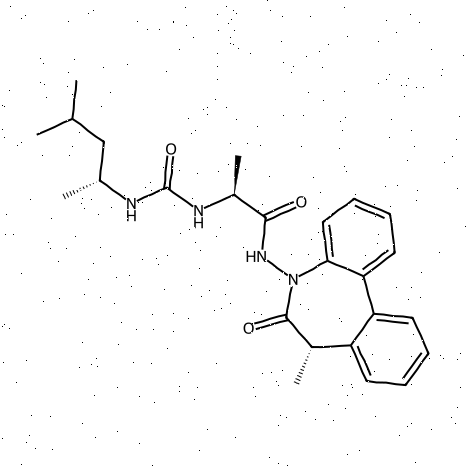 CC(C)C[C@@H](C)NC(=O)N[C@@H](C)C(=O)NN1C(=O)[C@@H](C)c2ccccc2-c2ccccc21